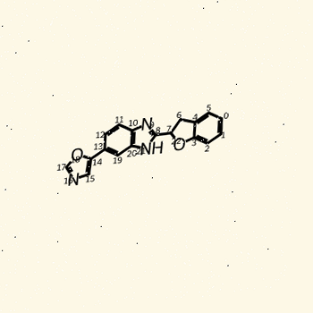 c1ccc2c(c1)CC(c1nc3ccc(-c4cnco4)cc3[nH]1)O2